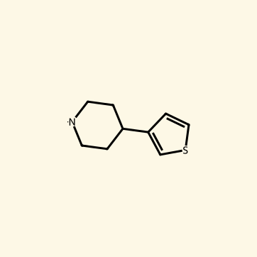 c1cc(C2CC[N]CC2)cs1